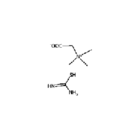 C[N+](C)(C)CC(=O)[O-].N=C(N)S